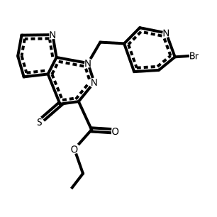 CCOC(=O)c1nn(Cc2ccc(Br)nc2)c2ncccc2c1=S